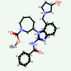 CC(C)(C)OC(=O)N1CCCCC(n2c(NC(=O)c3ccccc3)nc3cccc(CN4CCC(O)C4)c32)C1